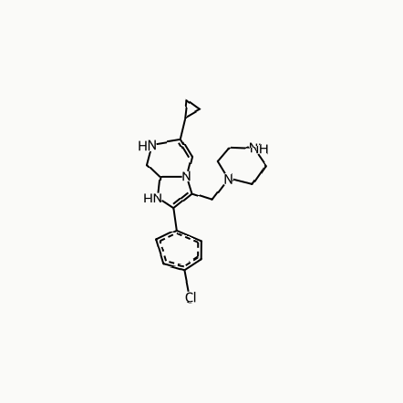 Clc1ccc(C2=C(CN3CCNCC3)N3C=C(C4CC4)NCC3N2)cc1